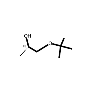 C[C@H](O)COC(C)(C)C